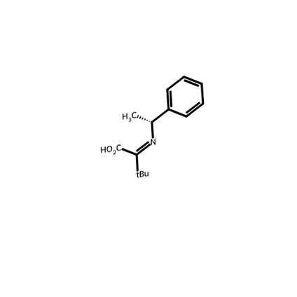 C[C@@H](/N=C(\C(=O)O)C(C)(C)C)c1ccccc1